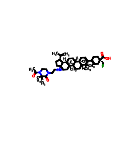 C=C(C)[C@@H]1CC[C@]2(NCCN3CCN(C(C)=O)C(C)(C)C3=O)CC[C@]3(C)[C@H](CC[C@@H]4[C@@]5(C)CC=C(C6=CC[C@](CF)(C(=O)O)CC6)C(C)(C)[C@@H]5CC[C@]43C)C12